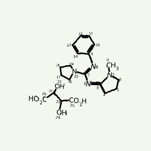 CN1CCCC1=NC(=Nc1ccccc1)N1CCCC1.O=C(O)C(O)C(O)C(=O)O